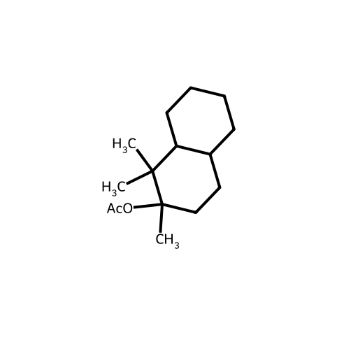 CC(=O)OC1(C)CCC2CCCCC2C1(C)C